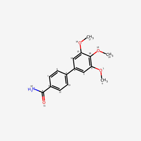 COc1cc(-c2ccc(C(N)=O)cc2)cc(OC)c1OC